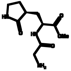 COC(=O)[C@H](C[C@@H]1CCNC1=O)NC(=O)CN